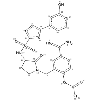 N=C(N)c1ccc(OC(=O)C(F)(F)F)c(CN2CC[C@H](NS(=O)(=O)c3ccc(-c4ccnc(O)c4)s3)C2=O)c1